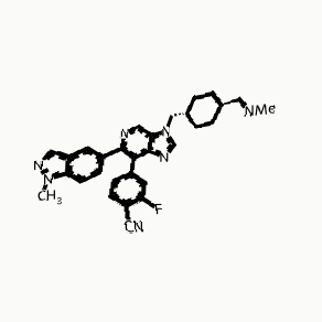 CNC[C@H]1CC[C@H](Cn2cnc3c(-c4ccc(C#N)c(F)c4)c(-c4ccc5c(cnn5C)c4)ncc32)CC1